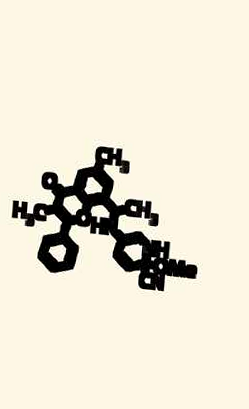 COC1(C#N)C=CC(NC(C)c2cc(C)cc3c(=O)c(C)c(-c4ccccc4)oc23)=CN1